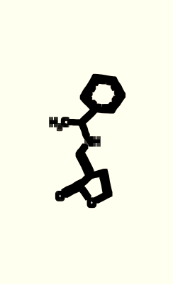 CC(NC=C1C=COC1=O)c1ccccc1